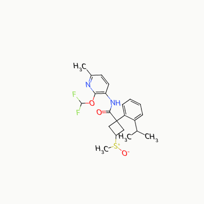 Cc1ccc(NC(=O)C2(c3ccccc3C(C)C)CC([S+](C)[O-])C2)c(OC(F)F)n1